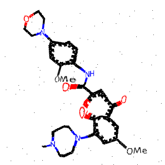 COc1cc(N2CCN(C)CC2)c2oc(C(=O)Nc3ccc(N4CCOCC4)cc3OC)cc(=O)c2c1